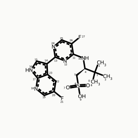 CC(C)(C)[C@@H](CS(=O)(=O)O)Nc1nc(-c2c[nH]c3ncc(F)cc23)ncc1F